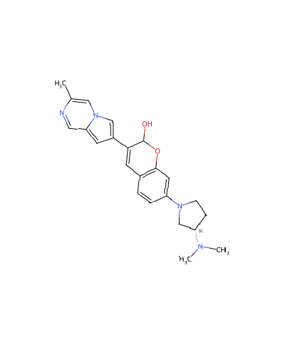 Cc1cn2cc(C3=Cc4ccc(N5CC[C@H](N(C)C)C5)cc4OC3O)cc2cn1